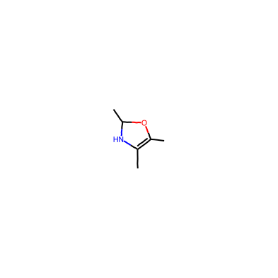 CC1=C(C)OC(C)N1